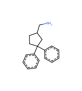 NCC1CCC(c2ccccc2)(c2ccccc2)C1